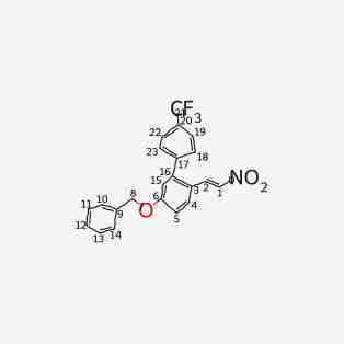 O=[N+]([O-])/C=C/c1ccc(OCc2ccccc2)cc1-c1ccc(C(F)(F)F)cc1